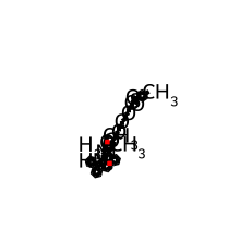 CCOCc1nc2c(NC(c3ccccc3)(c3ccccc3)c3ccccc3)nc3ccccc3c2n1CC(C)(C)OCCOCCOCCOCCOS(=O)(=O)c1ccc(C)cc1